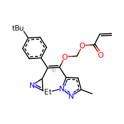 C=CC(=O)OCO/C(=C(\c1ccc(C(C)(C)C)cc1)C1C=N1)c1cc(C)nn1CC